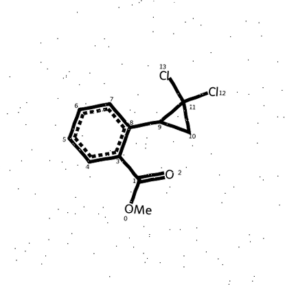 COC(=O)c1ccccc1C1CC1(Cl)Cl